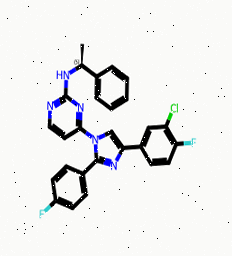 C[C@H](Nc1nccc(-n2cc(-c3ccc(F)c(Cl)c3)nc2-c2ccc(F)cc2)n1)c1ccccc1